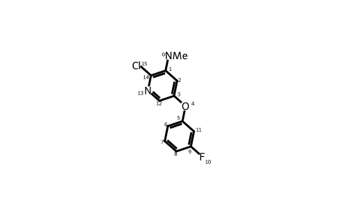 CNc1cc(Oc2cccc(F)c2)cnc1Cl